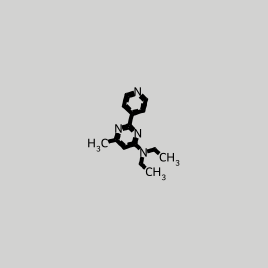 CCN(CC)c1cc(C)nc(-c2ccncc2)n1